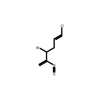 C=C(N=O)C(Br)C/C=C/Cl